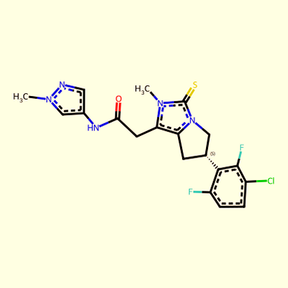 Cn1cc(NC(=O)Cc2c3n(c(=S)n2C)C[C@H](c2c(F)ccc(Cl)c2F)C3)cn1